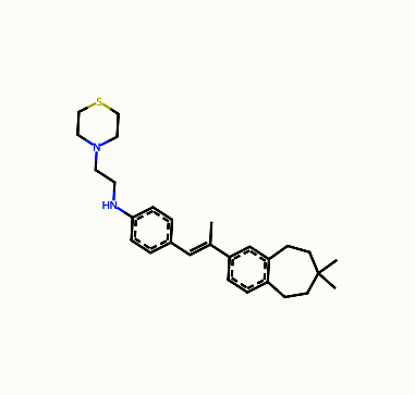 CC(=Cc1ccc(NCCN2CCSCC2)cc1)c1ccc2c(c1)CCC(C)(C)CC2